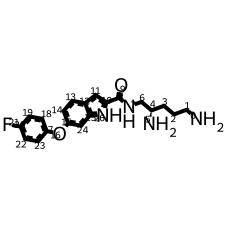 NCCC[C@H](N)CNC(=O)c1cc2ccc(Oc3ccc(F)cc3)cc2[nH]1